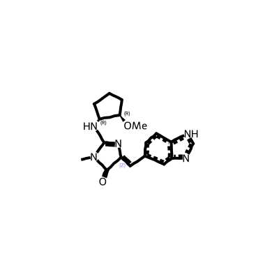 CO[C@@H]1CCC[C@H]1NC1=N/C(=C\c2ccc3[nH]cnc3c2)C(=O)N1C